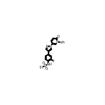 CCCn1cc(-n2cc(-c3ccc(NS(=O)(=O)CC)c(F)c3)cn2)ccc1=O